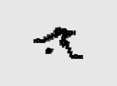 CCCCCCCCCCCCCCCC[n+]1cccc(OCC(CO)(CO)COc2ccc[n+](CCCCCCCCCCCCCCCC)c2)c1.[Br-].[Br-]